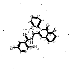 C[C@H](NC(=O)c1cc(Br)cnc1N)c1cc2cccc(Cl)c2c(=O)n1-c1ccccc1